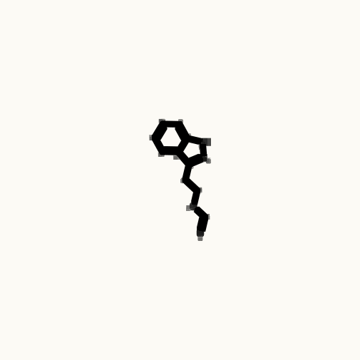 O=COCCc1n[nH]c2ccccc12